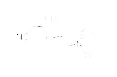 CC(CC#N)OCCN(C)C